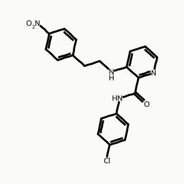 O=C(Nc1ccc(Cl)cc1)c1ncccc1NCCc1ccc([N+](=O)[O-])cc1